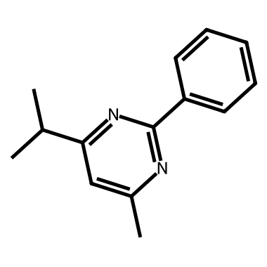 Cc1cc(C(C)C)nc(-c2ccccc2)n1